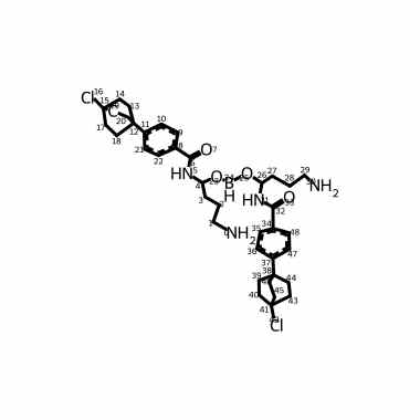 NCCCC(NC(=O)c1ccc(C23CCC(Cl)(CC2)CC3)cc1)OBOC(CCCN)NC(=O)c1ccc(C23CCC(Cl)(CC2)CC3)cc1